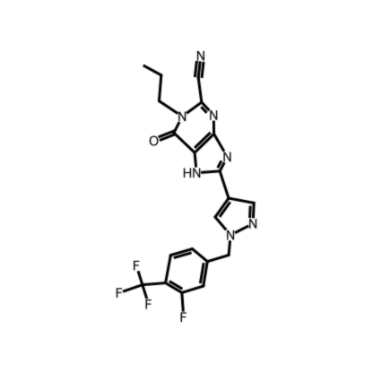 CCCn1c(C#N)nc2nc(-c3cnn(Cc4ccc(C(F)(F)F)c(F)c4)c3)[nH]c2c1=O